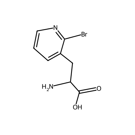 NC(Cc1cccnc1Br)C(=O)O